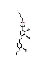 CCCCCC12CCC(c3ccc(CCc4ccc(CCC)c(C#N)c4)c(C#N)c3C#N)(CC1)CC2